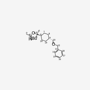 C[SiH](C)OC(C)([C@H]1CC[C@H](COCc2ccccc2)CC1)C(C)(C)C